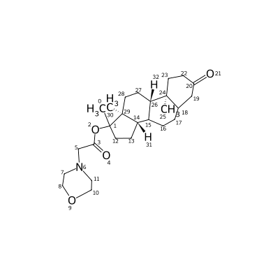 CC1(OC(=O)CN2CCOCC2)CC[C@H]2C3CCC4CC(=O)CC[C@]4(C)[C@H]3CC[C@@]21C